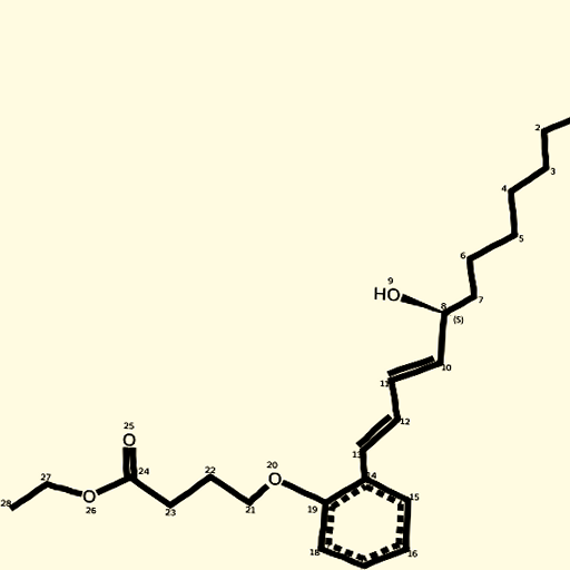 CCCCCCCC[C@H](O)C=CC=Cc1ccccc1OCCCC(=O)OCC